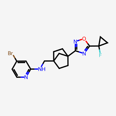 FC1(c2nc(C34CCC(CNc5cc(Br)ccn5)(CC3)C4)no2)CC1